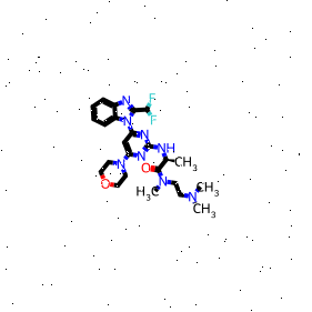 C[C@H](Nc1nc(N2CCOCC2)cc(-n2c(C(F)F)nc3ccccc32)n1)C(=O)N(C)CCN(C)C